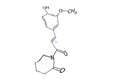 COc1cc(/C=C/C(=O)N2CCCCC2=O)ccc1O